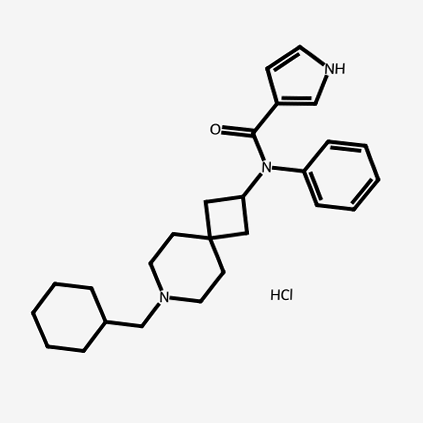 Cl.O=C(c1cc[nH]c1)N(c1ccccc1)C1CC2(CCN(CC3CCCCC3)CC2)C1